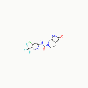 O=C(Nc1cc(Cl)c(C(F)(F)F)cn1)N1CCc2cc(=O)[nH]cc2C1